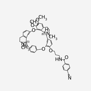 COc1cc2c3c(c1OC)Oc1ccc4c(c1)[C@H](Cc1ccc(cc1)Oc1cc(ccc1OCCCNC(=O)c1ccc(C#N)cc1)C[C@H]3N(C)CC2)N(C)CC4